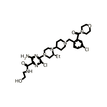 CC[C@H]1CN(c2nc(N)c(C(=O)NCCO)nc2Cl)CCN1C1CCN(Cc2ccc(Cl)cc2C(=O)N2CCOCC2)CC1